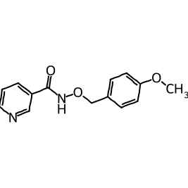 COc1ccc(CONC(=O)c2cccnc2)cc1